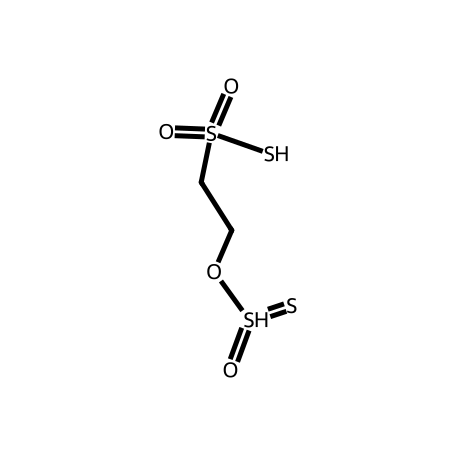 O=[SH](=S)OCCS(=O)(=O)S